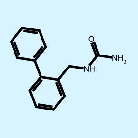 NC(=O)NCc1ccccc1-c1ccccc1